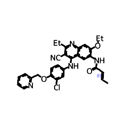 C/C=C/C(=O)Nc1cc2c(Nc3ccc(OCc4ccccn4)c(Cl)c3)c(C#N)c(CC)nc2cc1OCC